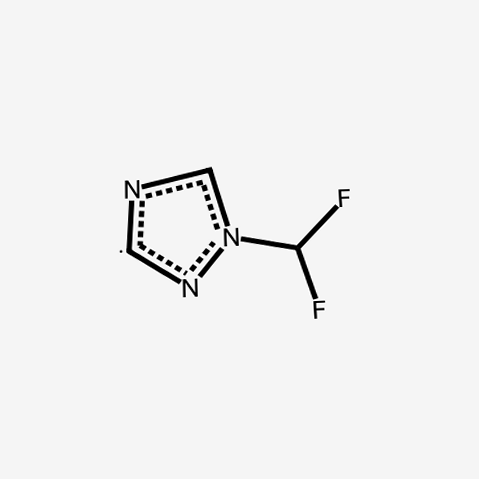 FC(F)n1cn[c]n1